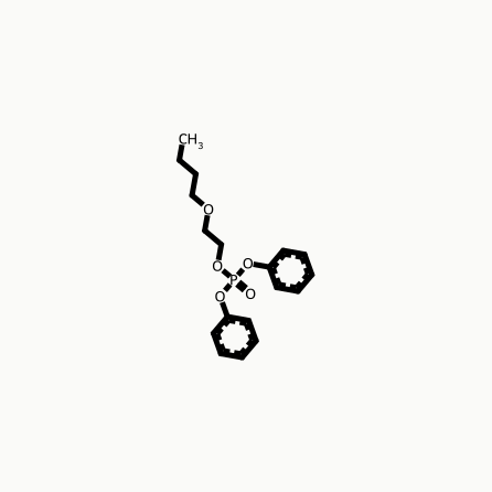 CCCCOCCOP(=O)(Oc1ccccc1)Oc1ccccc1